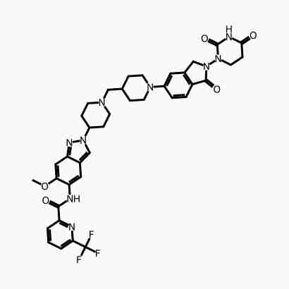 COc1cc2nn(C3CCN(CC4CCN(c5ccc6c(c5)CN(N5CCC(=O)NC5=O)C6=O)CC4)CC3)cc2cc1NC(=O)c1cccc(C(F)(F)F)n1